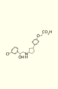 O=C(O)COc1ccc(C2CCC(NCC(O)c3cccc(Cl)c3)C2)cc1